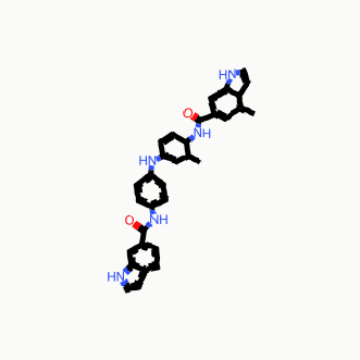 CC1C=C(Nc2ccc(NC(=O)c3ccc4cc[nH]c4c3)cc2)C=CC1NC(=O)C1=CC(C)C2C=CNC2=C1